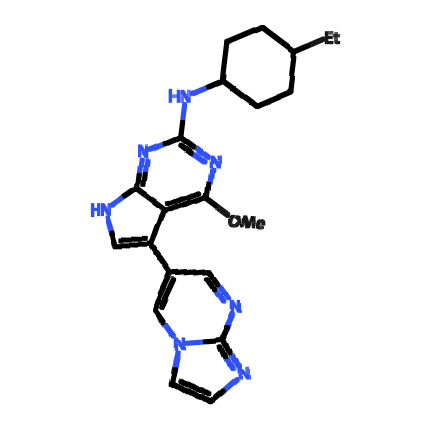 CCC1CCC(Nc2nc(OC)c3c(-c4cnc5nccn5c4)c[nH]c3n2)CC1